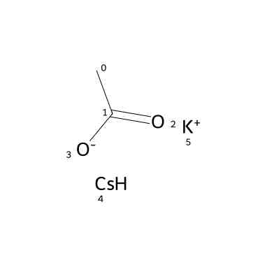 CC(=O)[O-].[CsH].[K+]